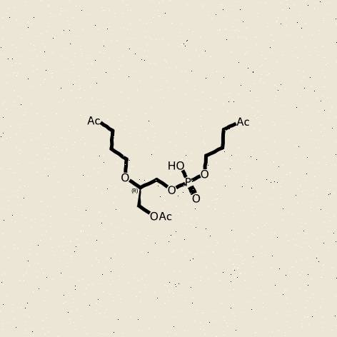 CC(=O)CCCO[C@H](COC(C)=O)COP(=O)(O)OCCCC(C)=O